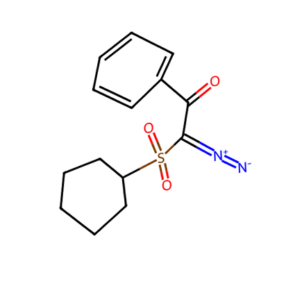 [N-]=[N+]=C(C(=O)c1ccccc1)S(=O)(=O)C1CCCCC1